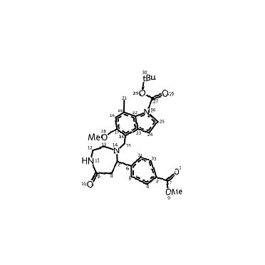 COC(=O)c1ccc(C2CC(=O)NCCN2Cc2c(OC)cc(C)c3c2ccn3C(=O)OC(C)(C)C)cc1